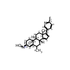 CC1C[C@H]2C3=CC=C(c4ccc(F)nc4)[C@@]3(C)CC[C@@H]2[C@@]2(C)CC/C(=N\O)C=C12